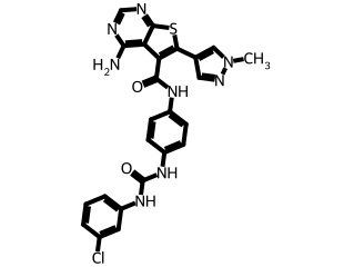 Cn1cc(-c2sc3ncnc(N)c3c2C(=O)Nc2ccc(NC(=O)Nc3cccc(Cl)c3)cc2)cn1